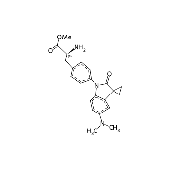 COC(=O)[C@@H](N)Cc1ccc(N2C(=O)C3(CC3)c3cc(N(C)C)ccc32)cc1